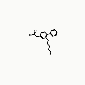 CCCCCCc1cc(CC(=O)O)ccc1-c1ccccc1